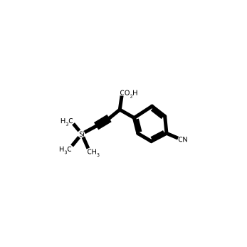 C[Si](C)(C)C#CC(C(=O)O)c1ccc(C#N)cc1